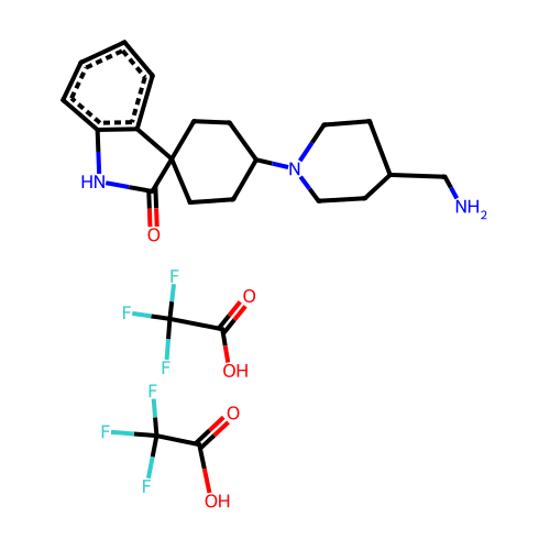 NCC1CCN(C2CCC3(CC2)C(=O)Nc2ccccc23)CC1.O=C(O)C(F)(F)F.O=C(O)C(F)(F)F